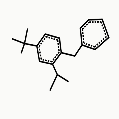 CC(C)c1cc(C(C)(C)C)ccc1Cc1ccccc1